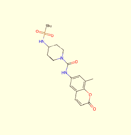 Cc1cc(NC(=O)N2CCC(NS(=O)(=O)C(C)(C)C)CC2)cc2ccc(=O)oc12